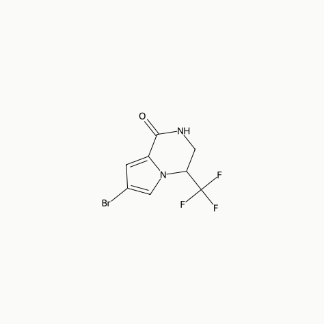 O=C1NCC(C(F)(F)F)n2cc(Br)cc21